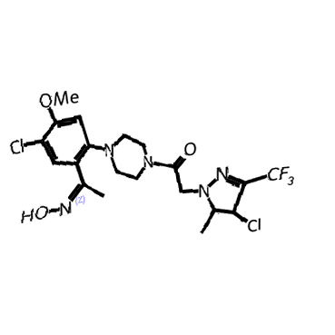 COc1cc(N2CCN(C(=O)CN3N=C(C(F)(F)F)C(Cl)C3C)CC2)c(/C(C)=N\O)cc1Cl